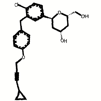 OC[C@@H]1C[C@H](O)C[C@@H](c2ccc(Cl)c(Cc3ccc(OCC#CC4CC4)cc3)c2)O1